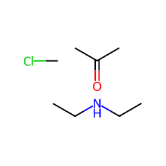 CC(C)=O.CCNCC.CCl